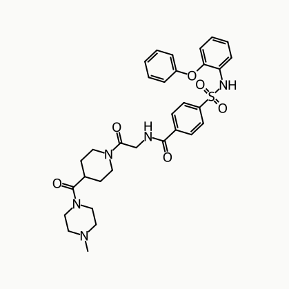 CN1CCN(C(=O)C2CCN(C(=O)CNC(=O)c3ccc(S(=O)(=O)Nc4ccccc4Oc4ccccc4)cc3)CC2)CC1